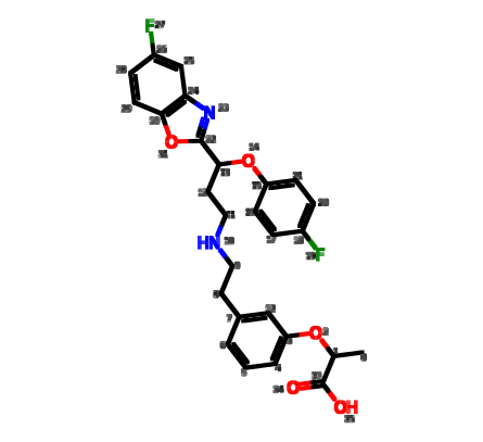 CC(Oc1cccc(CCNCCC(Oc2ccc(F)cc2)c2nc3cc(F)ccc3o2)c1)C(=O)O